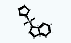 C[Si](C)(C1=CC=CC1)C1C=Cc2ccccc21